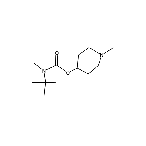 CN1CCC(OC(=O)N(C)C(C)(C)C)CC1